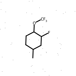 CC1CCC(OC(F)(F)F)C(F)C1